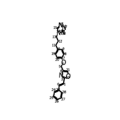 C(=Cc1nc(COc2ccc(CCCn3cnnn3)cc2)co1)c1ccccc1